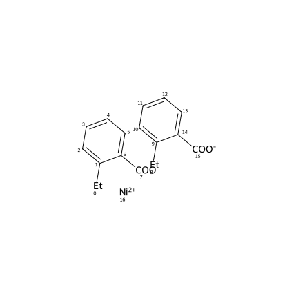 CCc1ccccc1C(=O)[O-].CCc1ccccc1C(=O)[O-].[Ni+2]